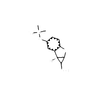 CCOC(=O)C1C2Oc3ccc(O[Si](C)(C)C(C)(C)C)cc3[C@H]21